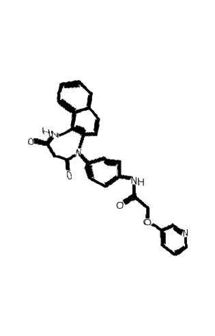 O=C(COc1cccnc1)Nc1ccc(N2C(=O)CC(=O)Nc3c2ccc2ccccc32)cc1